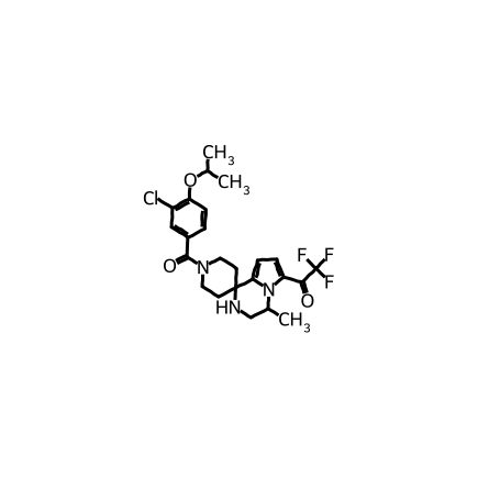 CC(C)Oc1ccc(C(=O)N2CCC3(CC2)NCC(C)n2c(C(=O)C(F)(F)F)ccc23)cc1Cl